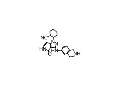 N#CC1CCCCC1n1nc(Nc2ccc3c(c2)CCNC3)c2c(=O)[nH]ccc21